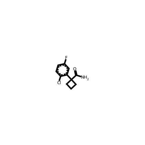 NC(=O)C1(c2cc(F)ccc2Cl)CCC1